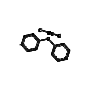 [Cl][Mg][Cl].[c]1ccc(Oc2ccccc2)cc1